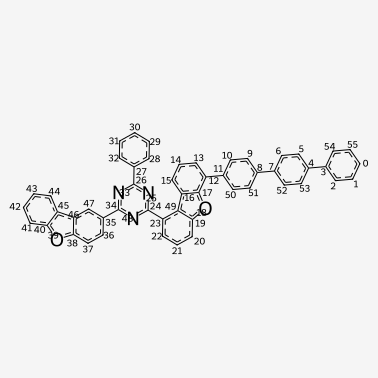 c1ccc(-c2ccc(-c3ccc(-c4cccc5c4oc4cccc(-c6nc(-c7ccccc7)nc(-c7ccc8oc9ccccc9c8c7)n6)c45)cc3)cc2)cc1